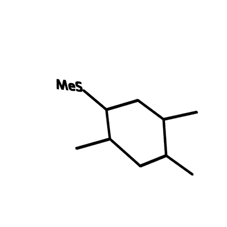 CSC1CC(C)C(C)CC1C